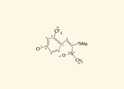 CS/C(=C/c1ccc(Cl)cc1C(F)(F)F)[S+](C)[O-]